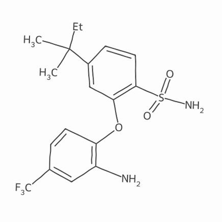 CCC(C)(C)c1ccc(S(N)(=O)=O)c(Oc2ccc(C(F)(F)F)cc2N)c1